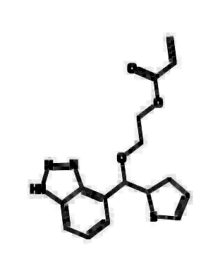 C=CC(=O)OCCOC(c1cccc2[nH]nnc12)C1CC=CS1